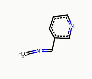 C=[N+]=Cc1cccnc1